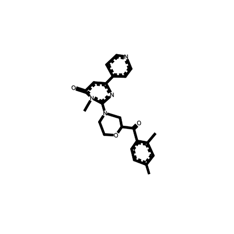 Cc1ccc(C(=O)C2CN(c3nc(-c4ccncc4)cc(=O)n3C)CCO2)c(C)c1